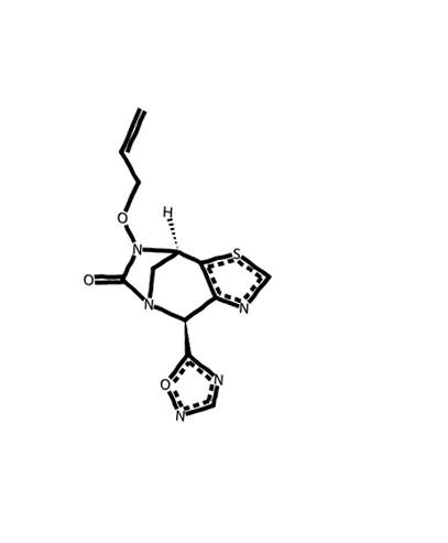 C=CCON1C(=O)N2C[C@@H]1c1scnc1[C@H]2c1ncno1